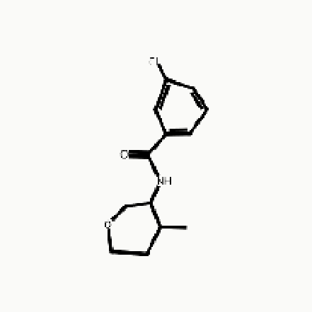 CC1CCOCC1NC(=O)c1cccc(Cl)c1